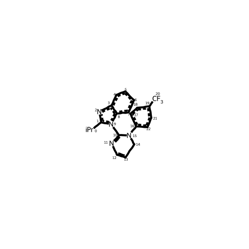 CC(C)c1nc2ccccc2n1C1=NC=CCN1c1ccc(C(F)(F)F)cc1